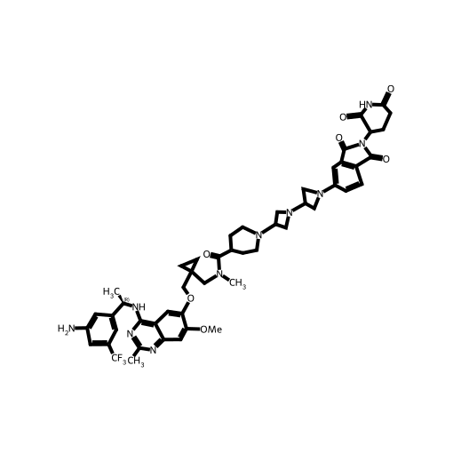 COc1cc2nc(C)nc(N[C@H](C)c3cc(N)cc(C(F)(F)F)c3)c2cc1OCC1(CN(C)C(=O)C2CCN(C3CN(C4CN(c5ccc6c(c5)C(=O)N(C5CCC(=O)NC5=O)C6=O)C4)C3)CC2)CC1